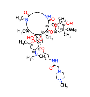 CO[C@]1(C)C[C@H](O[C@H]2[C@H](C)[C@@H](O[C@@H]3O[C@H](C)C[C@H](N(C)C)[C@H]3OCCCNC(=O)CN3CCN(C)CC3)[C@](C)(O)C[C@@H](C)CN(C)C(=O)CCCNC(=O)[C@@H]2C)O[C@@H](C)[C@@H]1O